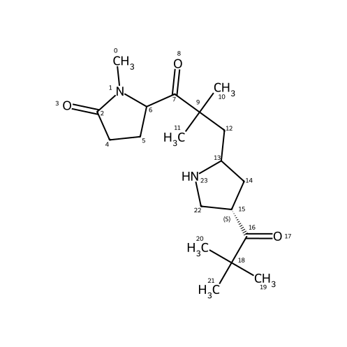 CN1C(=O)CCC1C(=O)C(C)(C)CC1C[C@H](C(=O)C(C)(C)C)CN1